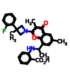 Cc1cc(C(C)Nc2ccccc2C(=O)O)c2oc(N3CC(C)(c4ccccc4F)C3)c(C)c(=O)c2c1